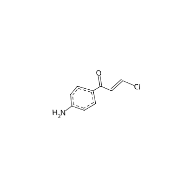 Nc1ccc(C(=O)C=CCl)cc1